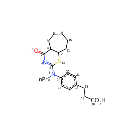 CCCN(C1=NC(=O)C2CCCCCC2S1)c1ccc(CCC(=O)O)cc1